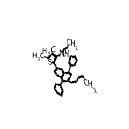 C/C=C\C=C/c1cc(-c2ccccc2)c2cc(-c3sc(C)c(C)c3NCCC)ccc2c1-c1ccccc1